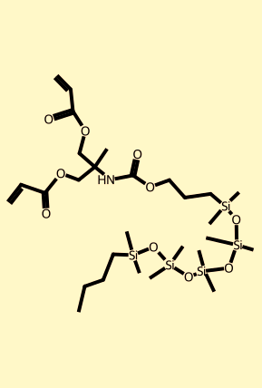 C=CC(=O)OCC(C)(COC(=O)C=C)NC(=O)OCCC[Si](C)(C)O[Si](C)(C)O[Si](C)(C)O[Si](C)(C)O[Si](C)(C)CCCC